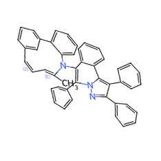 C/C1=C\C=C/c2cccc(c2)-c2ccccc2N1c1c(-c2ccccc2)n2nc(-c3ccccc3)c(-c3ccccc3)c2c2ccccc12